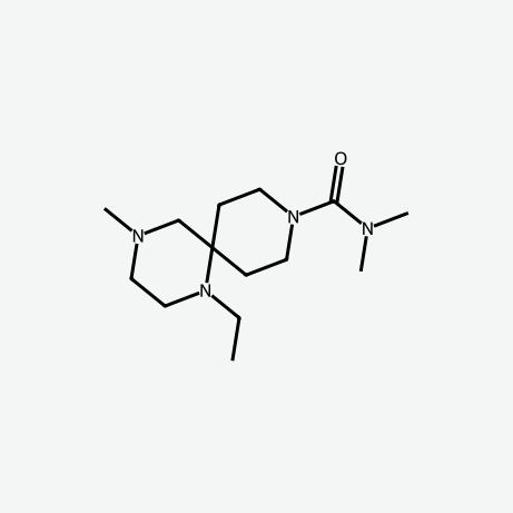 CCN1CCN(C)CC12CCN(C(=O)N(C)C)CC2